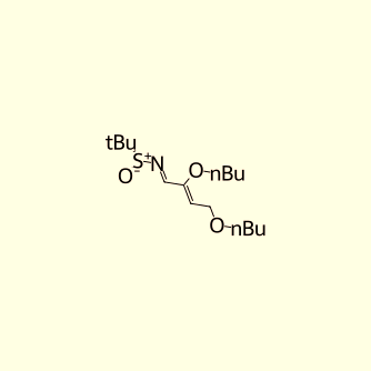 CCCCOC/C=C(/C=N/[S@+]([O-])C(C)(C)C)OCCCC